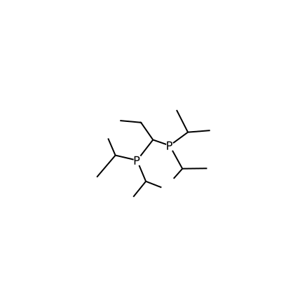 CCC(P(C(C)C)C(C)C)P(C(C)C)C(C)C